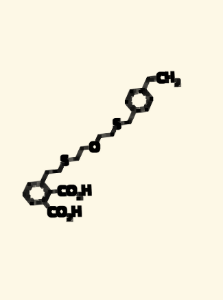 C=Cc1ccc(CSCCOCCSCCc2cccc(C(=O)O)c2C(=O)O)cc1